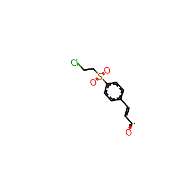 O=[C]/C=C/c1ccc(S(=O)(=O)CCCl)cc1